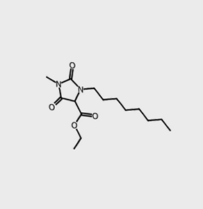 CCCCCCCCN1C(=O)N(C)C(=O)C1C(=O)OCC